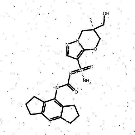 C[C@]1(CO)COc2c([S@@](N)(=O)=NC(=O)Nc3c4c(cc5c3CCC5)CCC4)cnn2C1